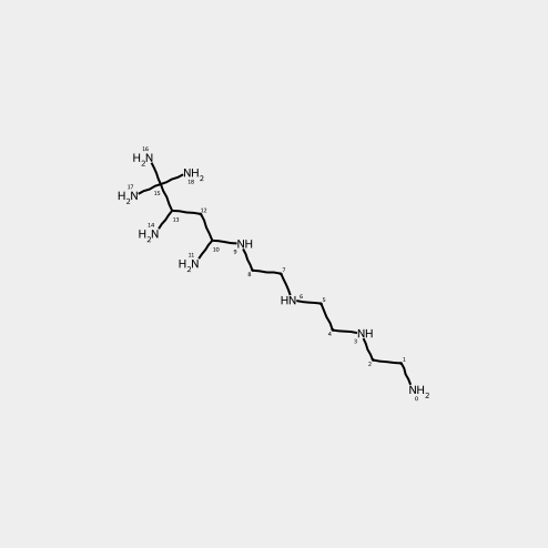 NCCNCCNCCNC(N)CC(N)C(N)(N)N